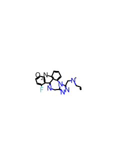 C=CCN(C)Cc1nnc2n1-c1cccc([N+](=O)[O-])c1C(c1ccccc1F)=NC2